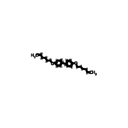 C=CCCCCOc1ccc(-c2ccc(OCCCCC=C)cc2)cc1